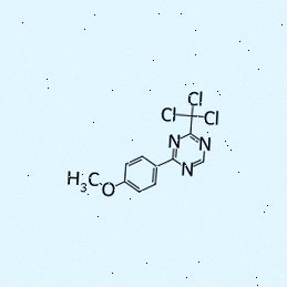 COc1ccc(-c2ncnc(C(Cl)(Cl)Cl)n2)cc1